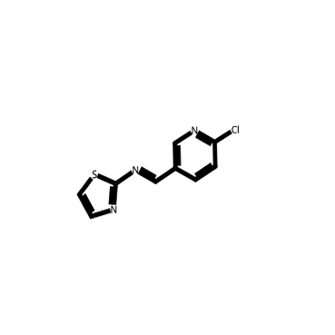 Clc1ccc(C=Nc2nccs2)cn1